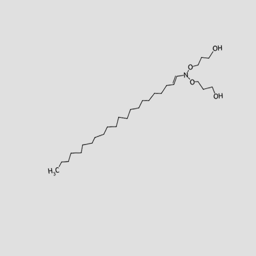 CCCCCCCCCCCCCCCCCCCCC=CN(OCCCO)OCCCO